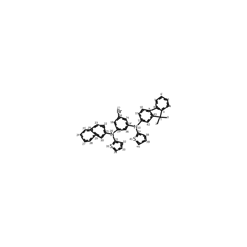 CC1(C)c2ccccc2-c2ccc(N(c3cc(Br)cc(N(c4ccc5ccccc5c4)c4cccs4)c3)c3cccs3)cc21